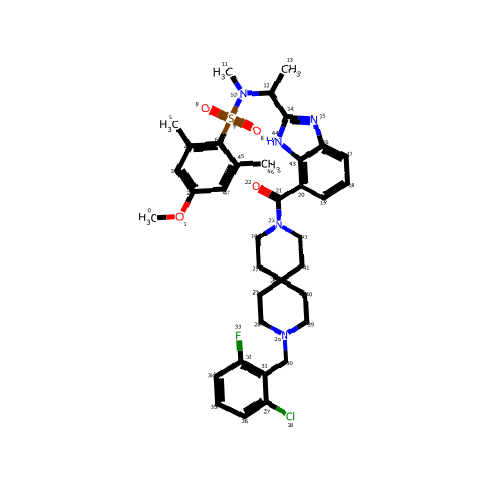 COc1cc(C)c(S(=O)(=O)N(C)C(C)c2nc3cccc(C(=O)N4CCC5(CCN(Cc6c(F)cccc6Cl)CC5)CC4)c3[nH]2)c(C)c1